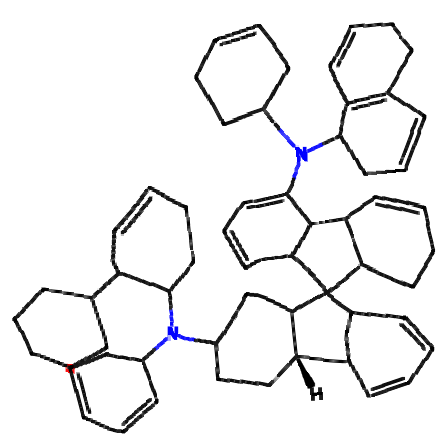 C1=CCC(N(C2CC[C@H]3C4C=CC=CC4C4(C5C=CC=C(N(C6CC=CCC6)C6CC=CC7=C6C=CCC7)C5C5C=CCCC54)C3C2)C2CCC=CC2C2CCCCC2)C=C1